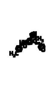 Cc1ccc(CC(=O)Nc2ccc(OCCN3CCOCC3)c(-c3ccnn3C)c2)cc1